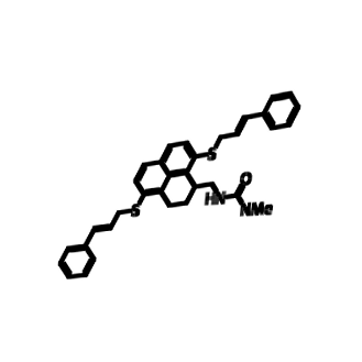 CNC(=O)NCC1CCc2c(SCC=Cc3ccccc3)ccc3ccc(SCC=Cc4ccccc4)c1c23